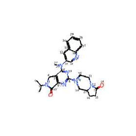 CC(C)N1Cc2c(nc(N3CCN4C(=O)CCC4C3)nc2N(C)c2cnc3ccccc3c2)C1=O